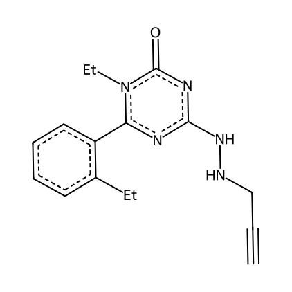 C#CCNNc1nc(-c2ccccc2CC)n(CC)c(=O)n1